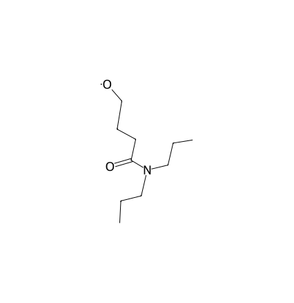 CCCN(CCC)C(=O)CCC[O]